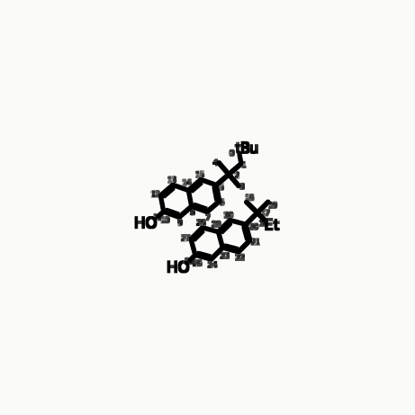 CC(C)(C)CC(C)(C)c1ccc2cc(O)ccc2c1.CCC(C)(C)c1ccc2cc(O)ccc2c1